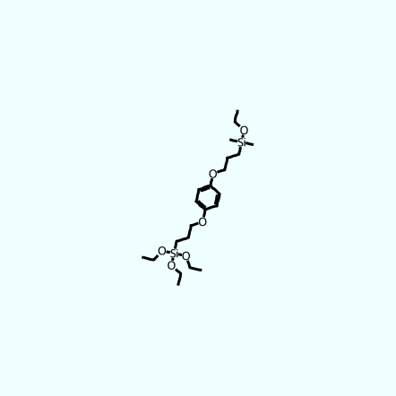 CCO[Si](C)(C)CCCOc1ccc(OCCC[Si](OCC)(OCC)OCC)cc1